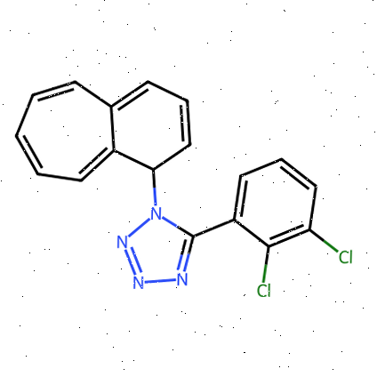 Clc1cccc(-c2nnnn2C2C=CC=C3C=CC=CC=C32)c1Cl